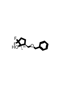 C[C@@]1(O)[C@H](COCc2ccccc2)CCC1(F)F